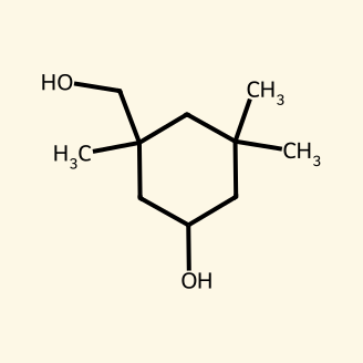 CC1(C)CC(O)CC(C)(CO)C1